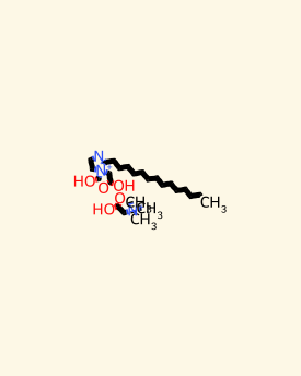 CCCCCCCCCCCCCCC1=NCC[N+]1(CO)CC(=O)O.C[N+](C)(C)CC(=O)O